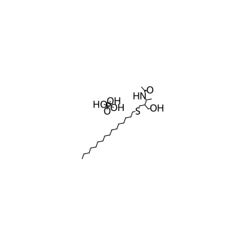 CCCCCCCCCCCCCCCCSCC(CO)C(C)NC(C)=O.O=P(O)(O)O